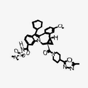 COc1ccc2c(c1)[C@@H]1C[C@]1(C(=O)N1CCC(c3nnc(C)o3)CC1)Cn1c-2c(C2CCCCC2)c2ccc(C(=O)NS(=O)(=O)N(C)C)cc21